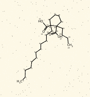 CCCCCCCCCCCCC1(C(=O)O)CCCCC1(CCCC)C(=O)O